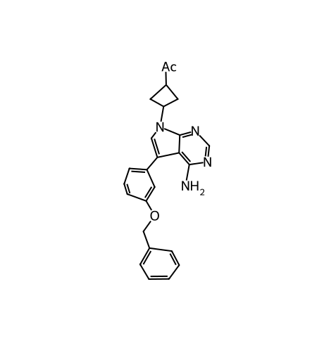 CC(=O)C1CC(n2cc(-c3cccc(OCc4ccccc4)c3)c3c(N)ncnc32)C1